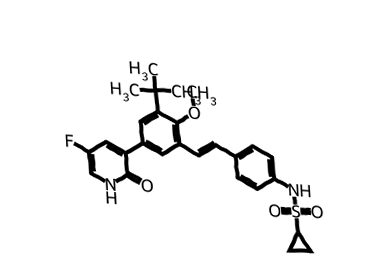 COc1c(/C=C/c2ccc(NS(=O)(=O)C3CC3)cc2)cc(-c2cc(F)c[nH]c2=O)cc1C(C)(C)C